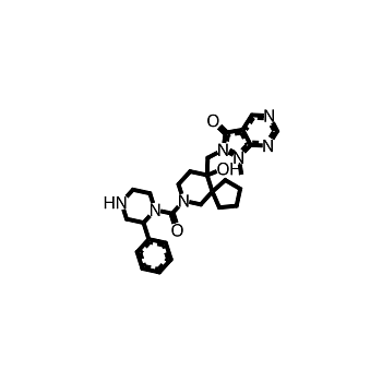 Cn1c2ncncc2c(=O)n1CC1(O)CCN(C(=O)N2CCNCC2c2ccccc2)CC12CCCC2